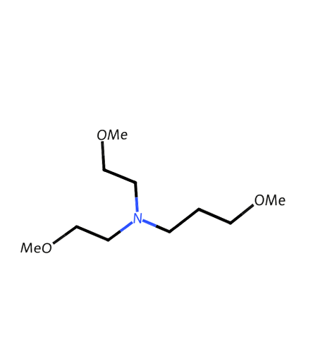 COCCCN(CCOC)CCOC